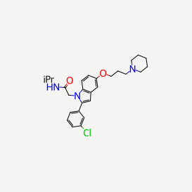 CC(C)NC(=O)Cn1c(-c2cccc(Cl)c2)cc2cc(OCCCN3CCCCC3)ccc21